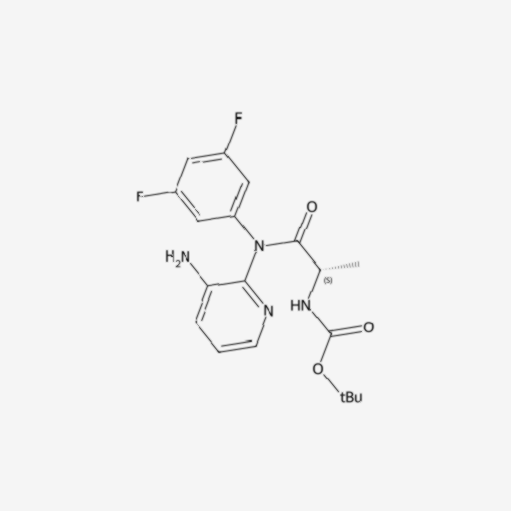 C[C@H](NC(=O)OC(C)(C)C)C(=O)N(c1cc(F)cc(F)c1)c1ncccc1N